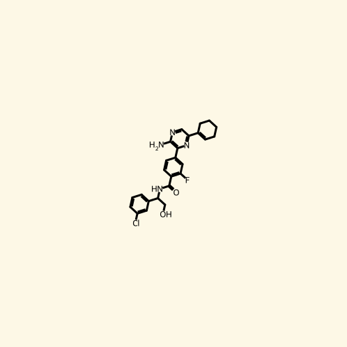 Nc1ncc(C2=CCCCC2)nc1-c1ccc(C(=O)NC(CO)c2cccc(Cl)c2)c(F)c1